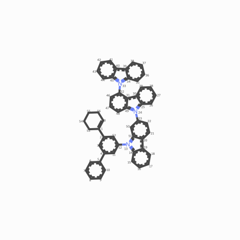 C1=C(c2cc(-c3ccccc3)cc(-n3c4ccccc4c4ccc(-n5c6ccccc6c6c(-n7c8ccccc8c8ccccc87)cccc65)cc43)c2)CCCC1